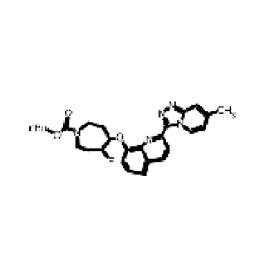 CCCCOC(=O)N1CCC(F)C(Oc2cccc3ccc(-c4nnc5cc(C)ccn45)nc23)CC1